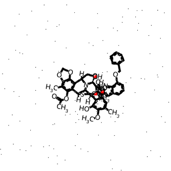 COc1c(C)cc2c(c1O)[C@@H]1C3[C@@H]4SC[C@]5(NCCc6c5[nH]c5c(OCc7ccccc7)cccc65)C(=O)COC[C@@H](c5c6c(c(C)c(OC(C)=O)c54)OCO6)N3[C@@H](O)[C@H](C2)N1C